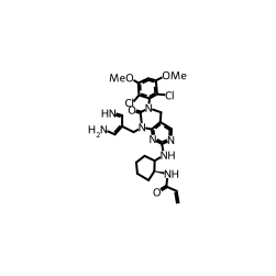 C=CC(=O)N[C@H]1CCCCC1Nc1ncc2c(n1)N(C/C(C=N)=C/N)C(=O)N(c1c(Cl)c(OC)cc(OC)c1Cl)C2